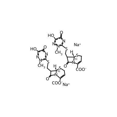 Cn1nc(O)c(=O)nc1SCC1C(=O)N2C(C(=O)[O-])=CCS[C@@H]12.Cn1nc(O)c(=O)nc1SCC1C(=O)N2C(C(=O)[O-])=CCS[C@@H]12.[Na+].[Na+]